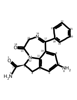 NC(=O)[C@@H]1Cc2cc(N)cc3c2N1C(=O)[C]N=C3c1ccccc1